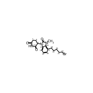 Cn1c(=O)n(C2CCC(=O)NC2=O)c2cccc(CCCCCBr)c21